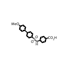 COc1ccc(-c2ccc(S(=O)(=O)Nc3ccc(C(=O)O)cc3)cc2)cc1